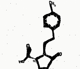 Cc1ccc(CCN2C(=O)CC[C@@H]2C(=O)O)cc1